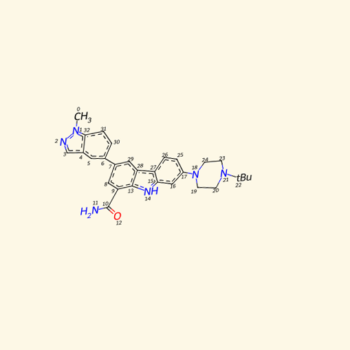 Cn1ncc2cc(-c3cc(C(N)=O)c4[nH]c5cc(N6CCN(C(C)(C)C)CC6)ccc5c4c3)ccc21